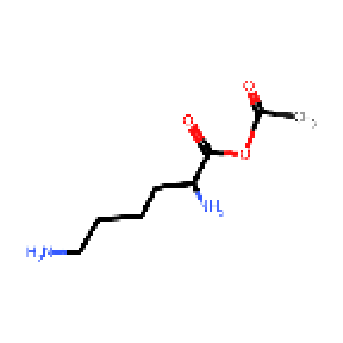 NCCCCC(N)C(=O)OC(=O)C(F)(F)F